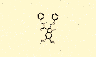 Cn1c(COc2ccccc2)c(C(=O)OCc2ccccc2)c2cc(O)c(N)cc21